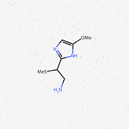 COc1cnc(C(CN)SC)[nH]1